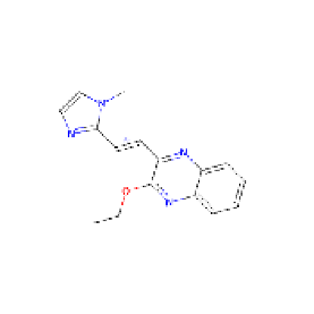 CCOc1nc2ccccc2nc1/C=C/c1nccn1C